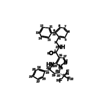 O=C(NCc1ccccc1-c1ccccc1)c1cnn2c1N[C@@H](c1ccccc1)C[C@H]2C(F)(F)F